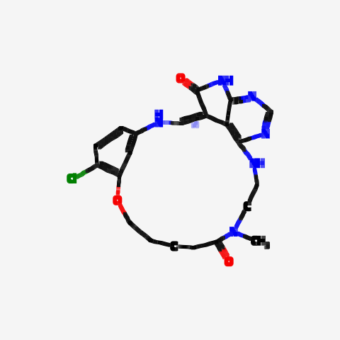 CN1CCNc2ncnc3c2/C(=C/Nc2ccc(Cl)c(c2)OCCCCC1=O)C(=O)N3